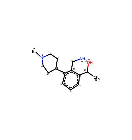 CCN1CCC(c2cccc(C(O)C(F)(F)F)c2CN)CC1